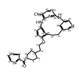 O=C(c1cnccn1)N1CCC(CCOc2ccc3cc2CCc2cncc(c2)Nc2ncc(Cl)c(n2)N3)CC1